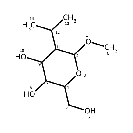 COC1OC(CO)C(O)C(O)C1C(C)C